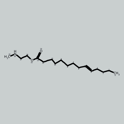 CCCC/C=C/CCCCCCCC(=O)OCCNC